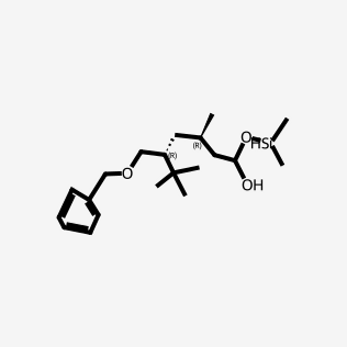 C[C@@H](CC(O)O[SiH](C)C)C[C@@H](COCc1ccccc1)C(C)(C)C